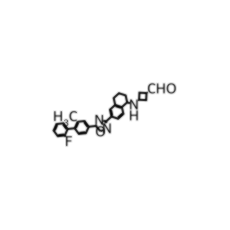 Cc1cc(-c2nc(-c3ccc4c(c3)CCCC4N[C@H]3C[C@H](C=O)C3)no2)ccc1-c1ccccc1F